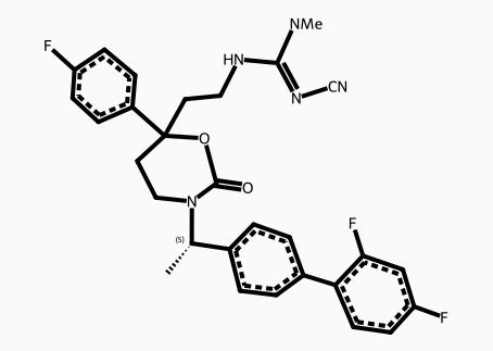 CNC(=NC#N)NCCC1(c2ccc(F)cc2)CCN([C@@H](C)c2ccc(-c3ccc(F)cc3F)cc2)C(=O)O1